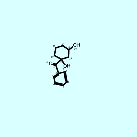 O=C(c1ccccc1)C1(O)CCCC(O)C1